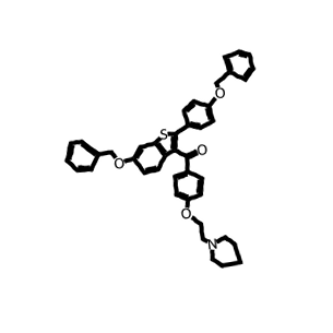 O=C(c1ccc(OCCN2CCCCC2)cc1)c1c(-c2ccc(OCc3ccccc3)cc2)sc2cc(OCc3ccccc3)ccc12